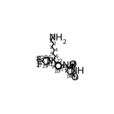 NCCCCCCC(c1cccc(NC2CCC(=O)NC2=O)c1)N1CCC(F)(F)CC1